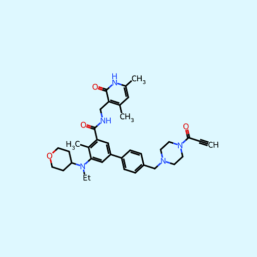 C#CC(=O)N1CCN(Cc2ccc(-c3cc(C(=O)NCc4c(C)cc(C)[nH]c4=O)c(C)c(N(CC)C4CCOCC4)c3)cc2)CC1